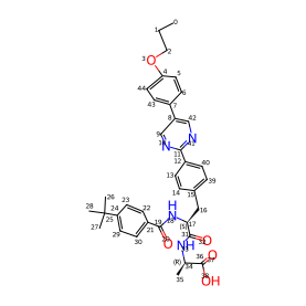 CCCOc1ccc(-c2cnc(-c3ccc(C[C@H](NC(=O)c4ccc(C(C)(C)C)cc4)C(=O)N[C@H](C)C(=O)O)cc3)nc2)cc1